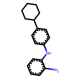 Nc1ccccc1Nc1ccc(C2CCCCC2)cc1